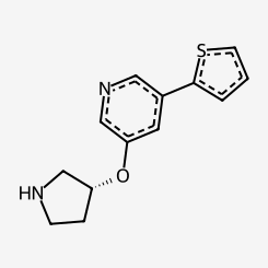 c1csc(-c2cncc(O[C@@H]3CCNC3)c2)c1